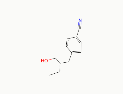 CC[C@H](CO)Cc1ccc(C#N)cc1